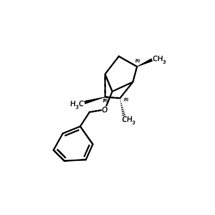 C[C@@H]1CC2C(OCc3ccccc3)C1[C@H](C)[C@H]2C